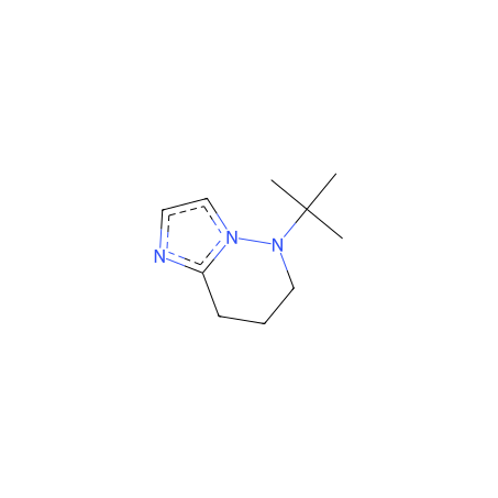 CC(C)(C)N1CCCc2nccn21